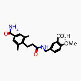 COc1ccc(CNC(=O)CCc2c(C)cc(C(N)=O)cc2C)cc1C(=O)O